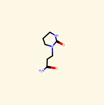 NC(=O)CCN1CCCNC1=O